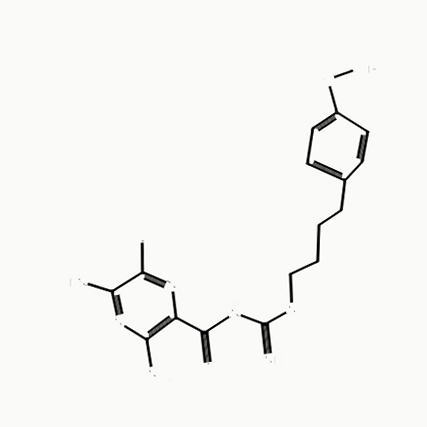 CCCCCCCOc1ccc(CCCCNC(=N)NC(=O)c2nc(Cl)c(N)nc2N)cc1